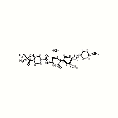 Cc1cc(-n2ccc(NC(=O)N3CCN(C(=O)C(C)(C)N)CC3)nc2=O)ccc1CN[C@H]1CC[C@H](N)CC1.Cl